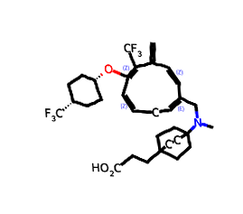 C=C1/C=C\C(CN(C)C23CCC(CCC(=O)O)(CC2)CC3)=C/C/C=C\C(O[C@H]2CC[C@@H](C(F)(F)F)CC2)=C/1C(F)(F)F